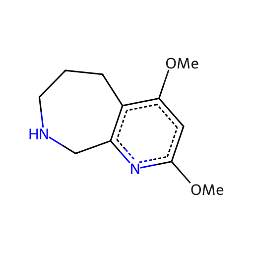 COc1cc(OC)c2c(n1)CNCCC2